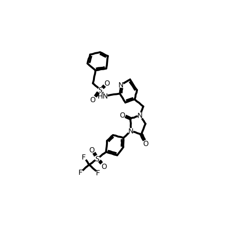 O=C1CN(Cc2ccnc(NS(=O)(=O)Cc3ccccc3)c2)C(=O)N1c1ccc(S(=O)(=O)C(F)(F)F)cc1